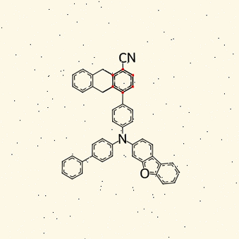 N#Cc1ccc(-c2ccc(N(c3ccc(-c4ccccc4)cc3)c3ccc4c(c3)oc3ccccc34)cc2)c2c1C1c3ccccc3C2c2ccccc21